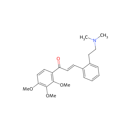 COc1ccc(C(=O)C=Cc2ccccc2CCN(C)C)c(OC)c1OC